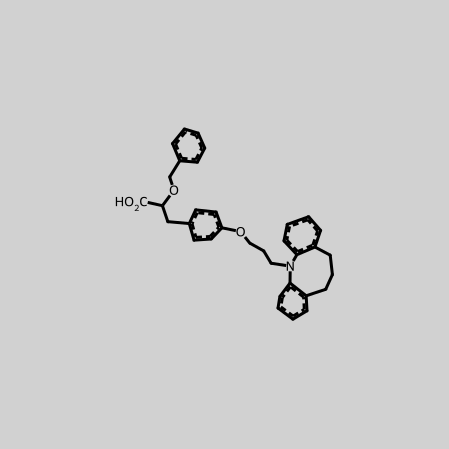 O=C(O)C(Cc1ccc(OCCCN2c3ccccc3CCCc3ccccc32)cc1)OCc1ccccc1